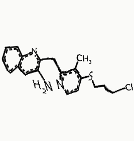 Cc1c(SCCCCl)ccnc1Cc1nc2ccccc2cc1N